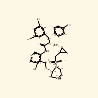 N[C@H](C(=O)Nc1cncc(F)c1CC[C@H]1CNCCN1S(=O)(=O)CC1CC1)[C@@H](c1ccc(F)cc1)c1cc(F)cc(F)c1